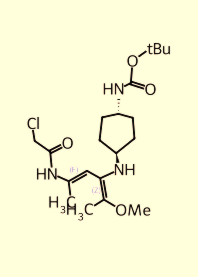 CO/C(C)=C(/C=C(\C)NC(=O)CCl)N[C@H]1CC[C@H](NC(=O)OC(C)(C)C)CC1